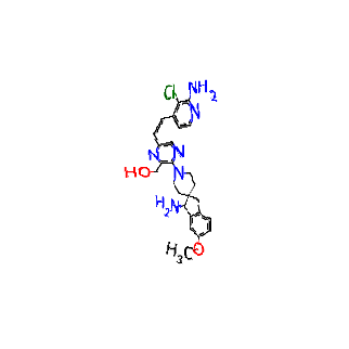 COc1ccc2c(c1)[C@@H](N)C1(CCN(c3ncc(/C=C\c4ccnc(N)c4Cl)nc3CO)CC1)C2